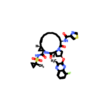 Cc1nc2cccc(F)c2nc1O[C@@H]1C[C@H]2C(=O)N[C@]3(C(=O)NS(=O)(=O)C4(C)CC4)C[C@H]3C=CCCCCC[C@H](NC(=O)c3cscn3)C(=O)N2C1